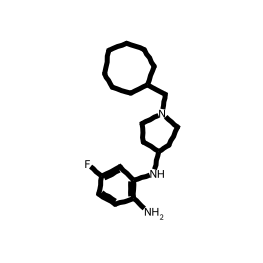 Nc1ccc(F)cc1NC1CCN(CC2CCCCCCC2)CC1